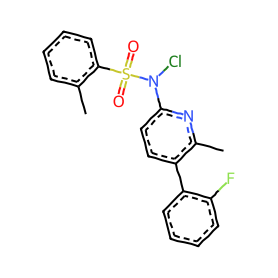 Cc1ccccc1S(=O)(=O)N(Cl)c1ccc(-c2ccccc2F)c(C)n1